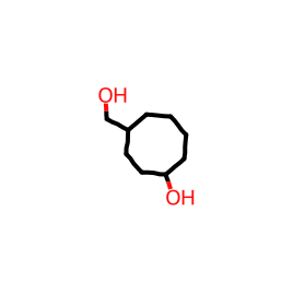 OCC1CCCCC(O)CC1